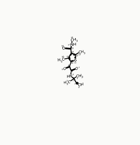 C#CC(C)(C)NC(=O)C(=O)c1sc(C)c(C(=O)NC)c1C